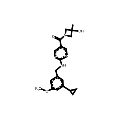 CC1(O)CN(C(=O)c2cnc(NCc3cc(OC(F)(F)F)cc(C4CC4)c3)nc2)C1